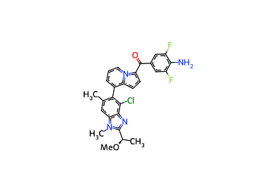 CO[C@H](C)c1nc2c(Cl)c(-c3cccn4c(C(=O)c5cc(F)c(N)c(F)c5)ccc34)c(C)cc2n1C